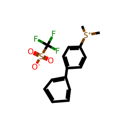 C[S+](C)c1ccc(-c2ccccc2)cc1.O=S(=O)([O-])C(F)(F)F